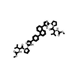 COC(=O)N[C@H](C(=O)N1CC=C[C@H]1c1ncc(-c2ccc(-c3cccc4c(-c5cnc([C@@H]6CCCN6C(=O)[C@@H](NC(=O)OC)C(C)C)[nH]5)cccc34)cc2)[nH]1)C(C)C